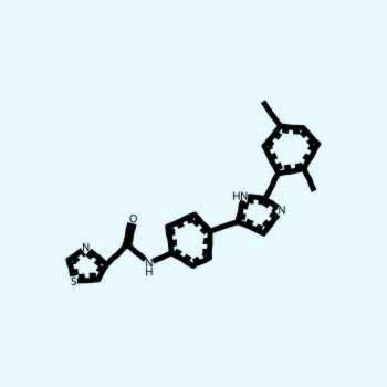 Cc1ccc(C)c(-c2ncc(-c3ccc(NC(=O)c4cscn4)cc3)[nH]2)c1